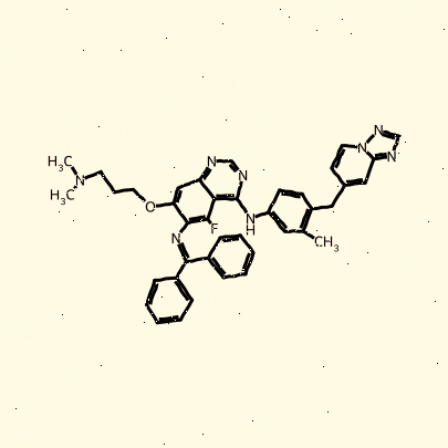 Cc1cc(Nc2ncnc3cc(OCCCN(C)C)c(N=C(c4ccccc4)c4ccccc4)c(F)c23)ccc1Cc1ccn2ncnc2c1